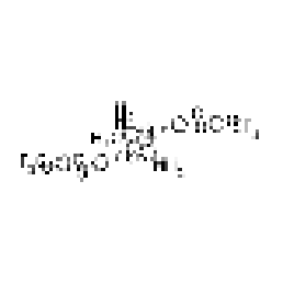 Cc1c(N)ccc(-c2ccc(N)cc2C(=O)/C=C/c2ccc(C(=O)Oc3ccc(OC(F)(F)F)cc3)cc2)c1C(=O)/C=C/c1ccc(C(=O)Oc2ccc(OC(F)(F)F)cc2)cc1